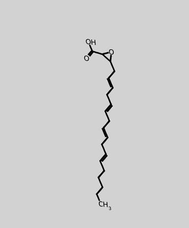 CCCCCC=CCC=CCC=CCC=CCC1OC1C(=O)O